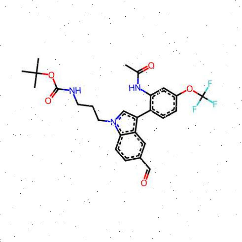 CC(=O)Nc1cc(OC(F)(F)F)ccc1-c1cn(CCCNC(=O)OC(C)(C)C)c2ccc(C=O)cc12